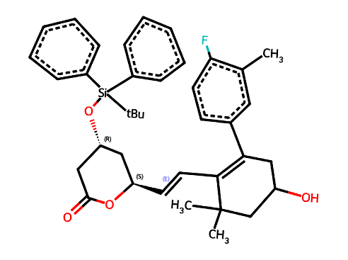 Cc1cc(C2=C(/C=C/[C@@H]3C[C@@H](O[Si](c4ccccc4)(c4ccccc4)C(C)(C)C)CC(=O)O3)C(C)(C)CC(O)C2)ccc1F